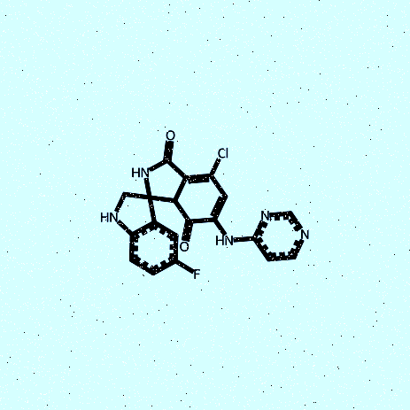 O=C1NC2(CNc3ccc(F)cc32)C2C(=O)C(Nc3ccncn3)=CC(Cl)=C12